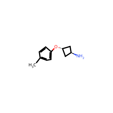 Cc1ccc(O[C@H]2C[C@H](N)C2)cc1